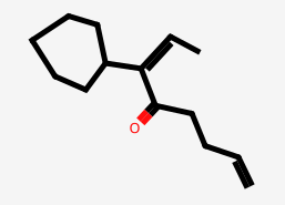 C=CCCC(=O)/C(=C\C)C1CCCCC1